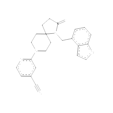 N#Cc1ccnc(N2CCC3(CCC(=O)N3Cc3cccc4[nH]ccc34)CC2)c1